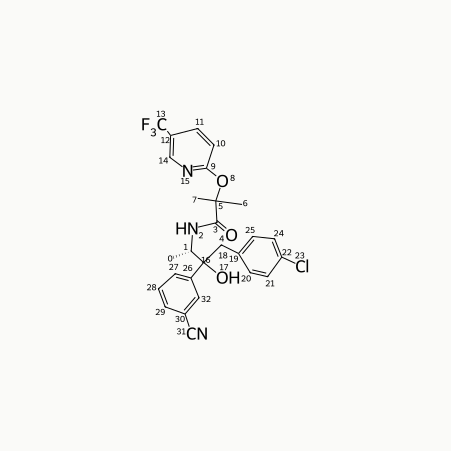 C[C@H](NC(=O)C(C)(C)Oc1ccc(C(F)(F)F)cn1)C(O)(Cc1ccc(Cl)cc1)c1cccc(C#N)c1